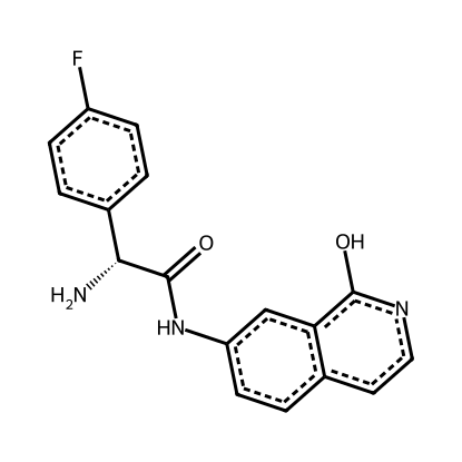 N[C@@H](C(=O)Nc1ccc2ccnc(O)c2c1)c1ccc(F)cc1